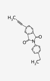 C=Cc1ccc(N2C(=O)c3ccc(C#CC)cc3C2=O)cc1